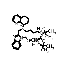 COCn1c(CN(CCCCN(C(=O)OC(C)(C)C)C(C)(C)C)[C@@H]2CCCc3cccnc32)nc2ccccc21